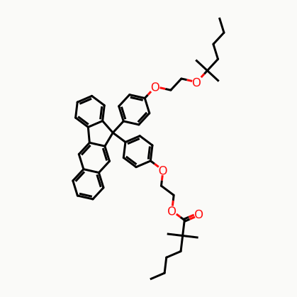 CCCCC(C)(C)OCCOc1ccc(C2(c3ccc(OCCOC(=O)C(C)(C)CCCC)cc3)c3ccccc3-c3cc4ccccc4cc32)cc1